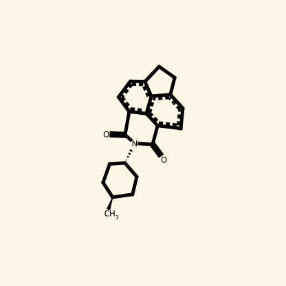 C[C@H]1CC[C@H](N2C(=O)c3ccc4c5c(ccc(c35)C2=O)CC4)CC1